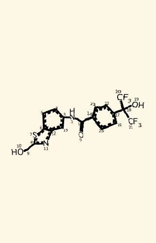 O=C(Nc1ccc2sc(CO)nc2c1)c1ccc(C(O)(C(F)(F)F)C(F)(F)F)cc1